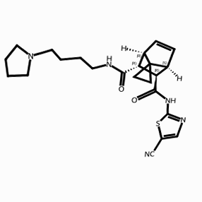 N#Cc1cnc(NC(=O)[C@H]2[C@H](C(=O)NCCCCN3CCCC3)[C@H]3C=C[C@@H]2C32CC2)s1